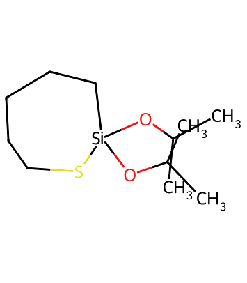 CC(C)O[Si]1(OC(C)C)CCCCCS1